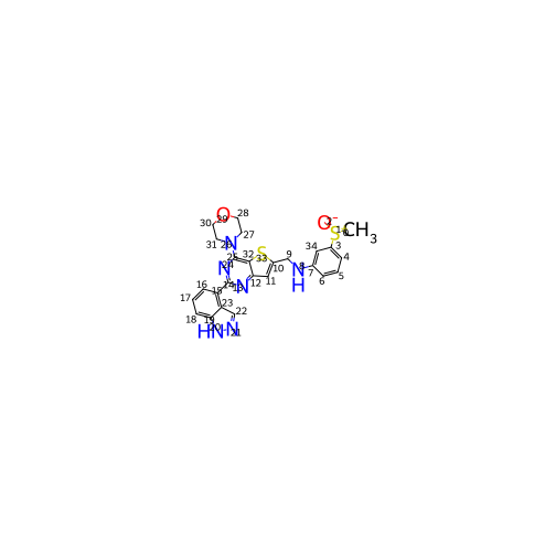 C[S+]([O-])c1cccc(NCc2cc3nc(-c4cccc5[nH]ncc45)nc(N4CCOCC4)c3s2)c1